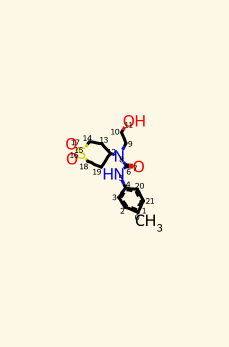 Cc1ccc(NC(=O)N(CCO)C2CCS(=O)(=O)CC2)cc1